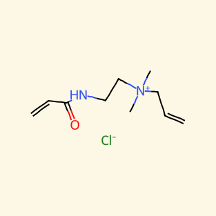 C=CC[N+](C)(C)CCNC(=O)C=C.[Cl-]